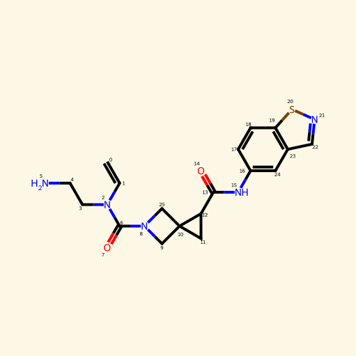 C=CN(CCN)C(=O)N1CC2(CC2C(=O)Nc2ccc3sncc3c2)C1